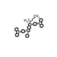 C=CCCC(=C)c1cc2cc3c(cc(-c4ccccc4)n3-c3ccc(-n4c5ccccc5c5ccccc54)cc3)cc2n1-c1ccc(-n2c3ccccc3c3ccccc32)cc1